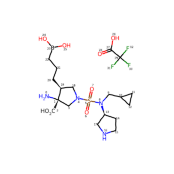 N[C@@]1(C(=O)O)CN(S(=O)(=O)N(CC2CC2)[C@H]2CCNC2)C[C@@H]1CCCB(O)O.O=C(O)C(F)(F)F